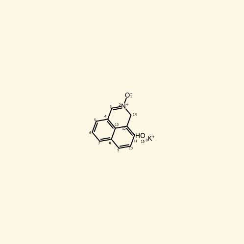 [K+].[O-][N+]1=Cc2cccc3cccc(c23)C1.[OH-]